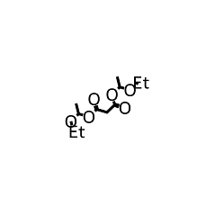 CCOC(C)OC(=O)CC(=O)OC(C)OCC